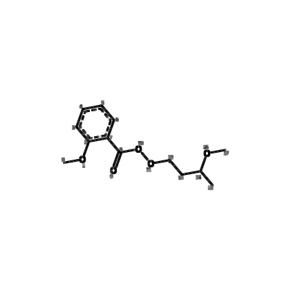 COc1ccccc1C(=O)OO[CH]CC(C)OC